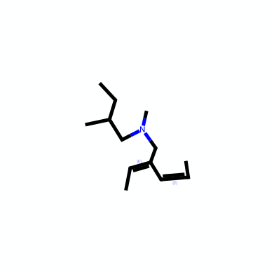 C/C=C\C(=C/C)CN(C)CC(C)CC